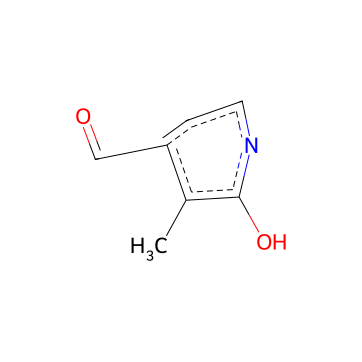 Cc1c(C=O)ccnc1O